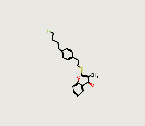 Cc1c(SCCc2ccc(CCCCF)cc2)oc2ccccc2c1=O